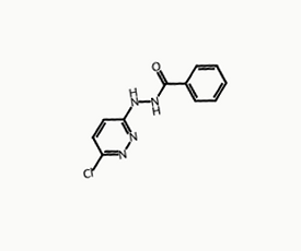 O=C(NNc1ccc(Cl)nn1)c1ccccc1